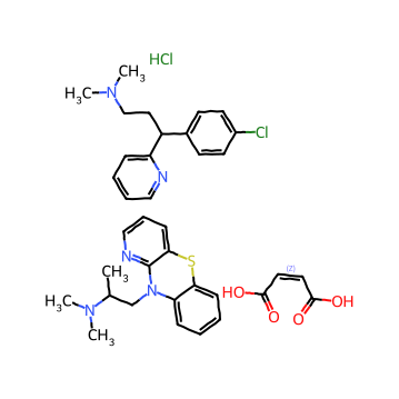 CC(CN1c2ccccc2Sc2cccnc21)N(C)C.CN(C)CCC(c1ccc(Cl)cc1)c1ccccn1.Cl.O=C(O)/C=C\C(=O)O